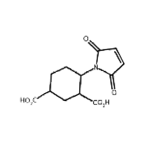 O=C(O)C1CCC(N2C(=O)C=CC2=O)C(C(=O)O)C1